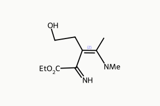 CCOC(=O)C(=N)/C(CCO)=C(/C)NC